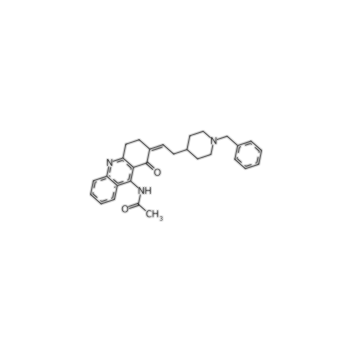 CC(=O)Nc1c2c(nc3ccccc13)CCC(=CCC1CCN(Cc3ccccc3)CC1)C2=O